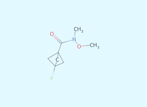 CON(C)C(=O)C12CC(F)(C1)C2